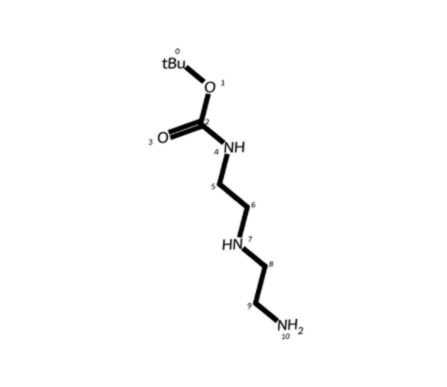 CC(C)(C)OC(=O)NCCNCCN